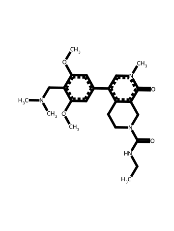 CCNC(=O)N1CCc2c(-c3cc(OC)c(CN(C)C)c(OC)c3)cn(C)c(=O)c2C1